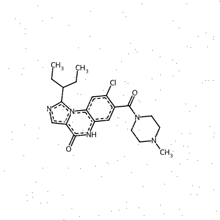 CCC(CC)c1ncc2c(=O)[nH]c3cc(C(=O)N4CCN(C)CC4)c(Cl)cc3n12